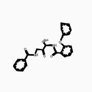 CCCCC(NC(=O)c1ccccc1Oc1ccccc1)C(=O)CNC(=O)c1ccccc1